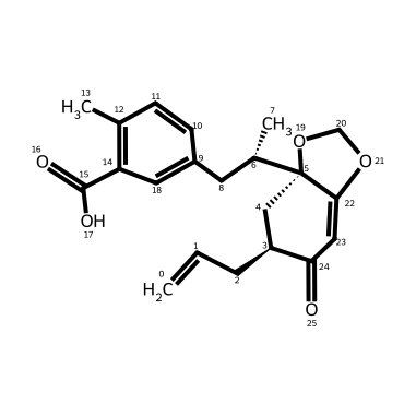 C=CC[C@H]1C[C@]2([C@@H](C)Cc3ccc(C)c(C(=O)O)c3)OCOC2=CC1=O